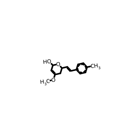 COC1=CC(O)OC(/C=C/c2ccc(C)cc2)C1